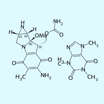 CO[C@@]12[C@H](COC(N)=O)C3=C(C(=O)C(C)=C(N)C3=O)N1C[C@@H]1N[C@@H]12.Cn1c(=O)c2c(ncn2C)n(C)c1=O